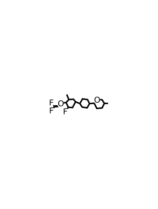 CC1CCC(C2CCC(C3CC(C)C(OC=C(F)F)C(F)C3)CC2)OC1